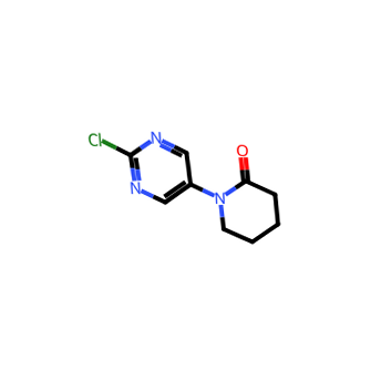 O=C1CCCCN1c1cnc(Cl)nc1